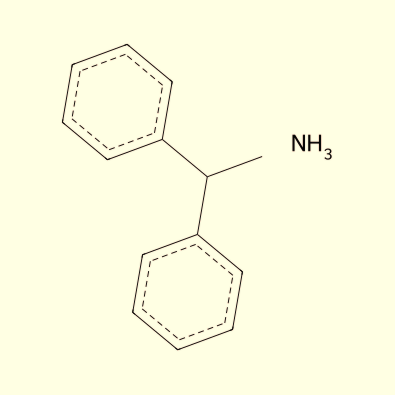 CC(c1ccccc1)c1ccccc1.N